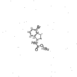 CC(C)(C)OC(=O)NC1CCc2c(Br)cccc21